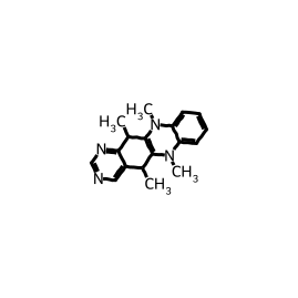 CC1C2=C(C(C)c3ncncc31)N(C)c1ccccc1N2C